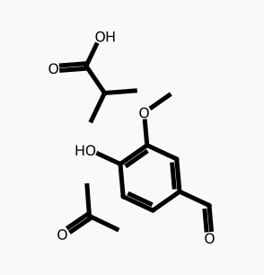 CC(C)=O.CC(C)C(=O)O.COc1cc(C=O)ccc1O